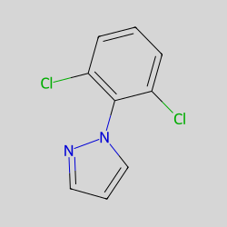 Clc1cccc(Cl)c1-n1cccn1